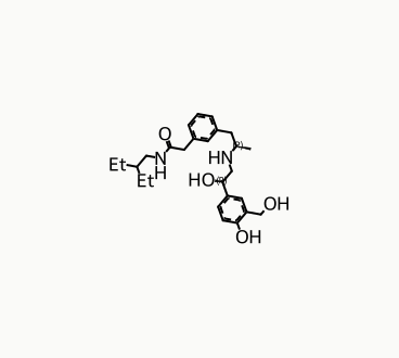 CCC(CC)CNC(=O)Cc1cccc(C[C@@H](C)NC[C@H](O)c2ccc(O)c(CO)c2)c1